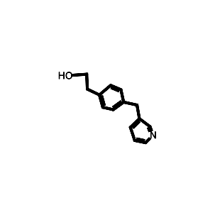 OCCc1ccc(Cc2cccnc2)cc1